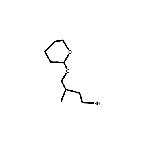 CC(CCN)COC1CCCCO1